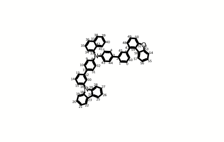 c1cc(-c2ccc(N(c3ccc(-c4cccc(-n5c6ccccc6c6ccccc65)c4)cc3)c3cccc4ccccc34)cc2)cc(-c2cccc3oc4ccccc4c23)c1